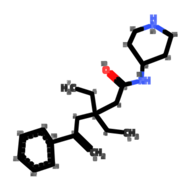 C=C(CC(CC)(CC)CC(=O)NC1CCNCC1)c1ccccc1